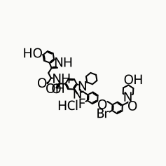 Cl.O=C(NC(Cc1c[nH]c2ccc(O)cc12)C(=O)O)c1ccc2c(c1)nc(-c1ccc(OCc3cc(C(=O)N4CCC(O)CC4)ccc3Br)cc1F)n2C1CCCCC1